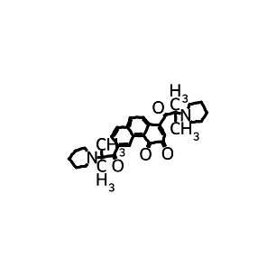 CC(C)(C(=O)C1=CC(=O)C(=O)c2c1ccc1ccc(C(=O)C(C)(C)N3CCCCC3)cc21)N1CCCCC1